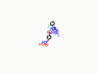 Nc1cn(-c2ccccc2F)nc1NC(=O)c1ccc(CNC(=O)O)cc1